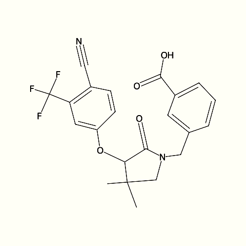 CC1(C)CN(Cc2cccc(C(=O)O)c2)C(=O)C1Oc1ccc(C#N)c(C(F)(F)F)c1